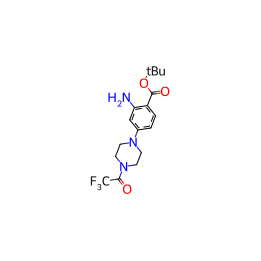 CC(C)(C)OC(=O)c1ccc(N2CCN(C(=O)C(F)(F)F)CC2)cc1N